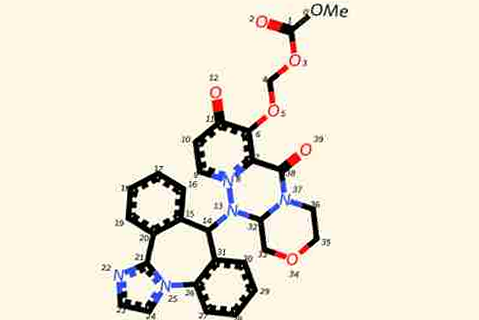 COC(=O)OCOc1c2n(ccc1=O)N(C1c3ccccc3-c3nccn3-c3ccccc31)C1COCCN1C2=O